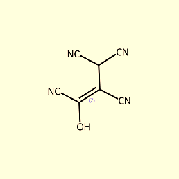 N#C/C(O)=C(/C#N)C(C#N)C#N